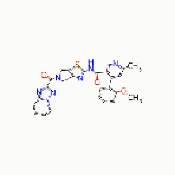 COc1ccccc1-c1cc(C)ncc1C(=O)Nc1nc2c(s1)CN(C(=O)c1nc3ccccn3n1)C2